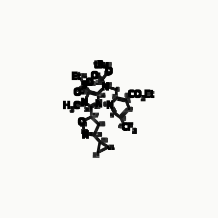 CCOC(=O)c1cc(C(F)(F)F)cnc1CN(C(=O)OC(C)(C)C)c1nc(C2CC(C3CC3)=NO2)n(C)c1S(=O)(=O)CC